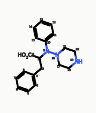 O=C(O)C(Cc1ccccc1)N(c1ccccc1)N1CCNCC1